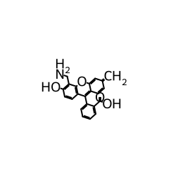 C=c1ccc2c(c1)Oc1c(ccc(O)c1CN)C=2c1ccccc1C(=O)O